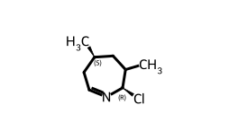 CC1C[C@H](C)CC=N[C@@H]1Cl